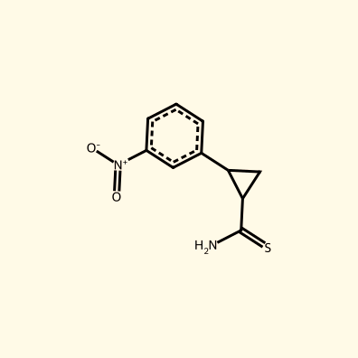 NC(=S)C1CC1c1cccc([N+](=O)[O-])c1